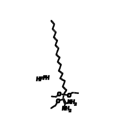 CCCCCCCCCCCCCCCCCCC(OCC)(OCC)C(OCC)=C(N)N.F.F